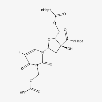 CCCCCCCC(=O)OC[C@H]1O[C@@H](n2cc(F)c(=O)n(COC(=O)CCC)c2=O)C[C@@]1(O)C(=O)CCCCCCC